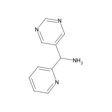 NC(c1cncnc1)c1ccccn1